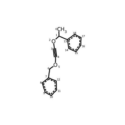 CC(OC#COCc1ccccc1)c1ccccc1